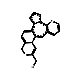 OCC1=CC2C(=CC=c3c4cccc-4c4c(cc32)=CC=CO4)CS1